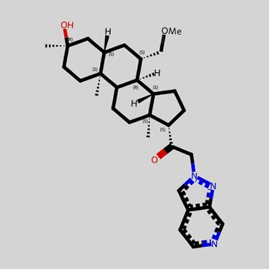 COC[C@H]1C[C@H]2C[C@](C)(O)CC[C@]2(C)C2CC[C@]3(C)[C@@H](C(=O)Cn4cc5ccncc5n4)CC[C@H]3[C@@H]21